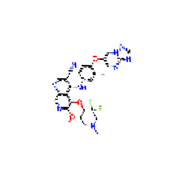 COc1ncc2ncc(C#N)c(Nc3ccc(Oc4cnc5ncnn5c4)c(C)c3)c2c1O[C@@H]1CCN(C)CC1(F)F